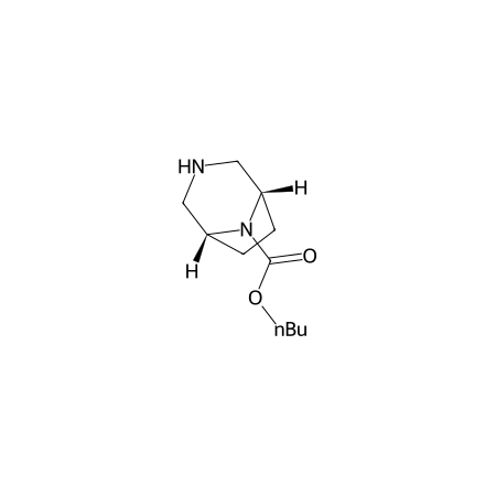 CCCCOC(=O)N1[C@@H]2CC[C@H]1CNC2